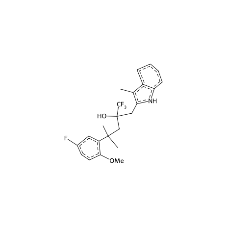 COc1ccc(F)cc1C(C)(C)CC(O)(Cc1[nH]c2ccccc2c1C)C(F)(F)F